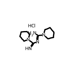 Cl.N=C(N=C(N)N1CCCCC1)N1CCCCC1